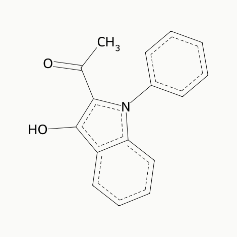 CC(=O)c1c(O)c2ccccc2n1-c1ccccc1